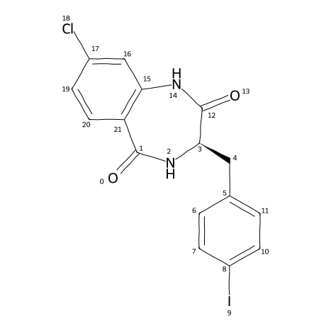 O=C1N[C@H](Cc2ccc(I)cc2)C(=O)Nc2cc(Cl)ccc21